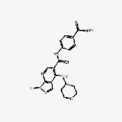 CCn1ncc2c(NC3CCOCC3)c(C(=O)Nc3ccc(C(=O)NC)cc3)cnc21